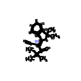 CC(C)(C)C(=O)/C(C#N)=C1\CC(C)(C)c2ccccc21